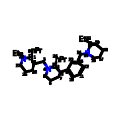 CCCB1C(CN2CCCC(c3cccc(CN4CCCCB4CC)c3)B2CCC)CCCN1CC